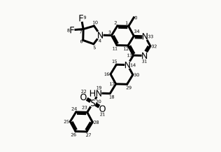 Cc1cc(N2CCC(F)(F)C2)cc2c(N3CCC(CNS(=O)(=O)c4ccccc4)CC3)ncnc12